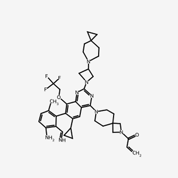 C=CC(=O)N1CC2(CCN(c3nc(N4CC(N5CCC6(CC5)CC6)C4)nc4c(OCC(F)(F)F)c(-c5c(C)ccc(N)c5C=N)c(C5CC5)cc34)CC2)C1